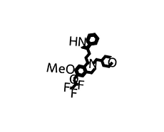 COc1cc2c(cc1OC(F)C(F)F)CCN(CC1CCOCC1)C2CCc1c[nH]c2ccccc12